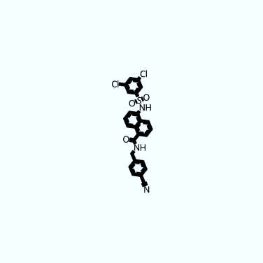 N#Cc1ccc(CNC(=O)c2cccc3c(NS(=O)(=O)c4cc(Cl)cc(Cl)c4)cccc23)cc1